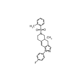 Cc1ccccc1S(=O)(=O)N1CCC2=Cc3c(cnn3-c3ccc(F)cc3)C[C@]2(C)C1